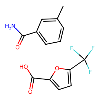 Cc1cccc(C(N)=O)c1.O=C(O)c1ccc(C(F)(F)F)o1